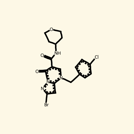 O=C(NC1CCOCC1)c1cn(Cc2ccc(Cl)cc2)c2cc(Br)nn2c1=O